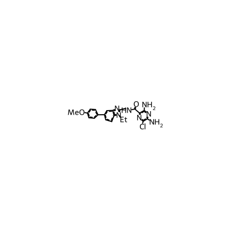 CCn1c(CNC(=O)c2nc(Cl)c(N)nc2N)nc2cc(-c3ccc(OC)cc3)ccc21